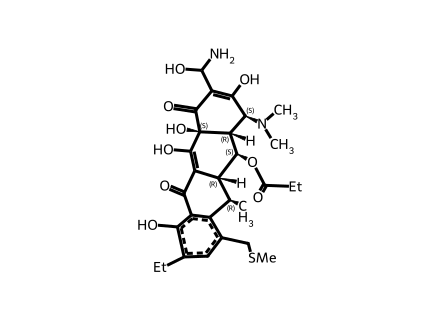 CCC(=O)O[C@H]1[C@H]2C(=C(O)[C@]3(O)C(=O)C(C(N)O)=C(O)[C@@H](N(C)C)[C@H]13)C(=O)c1c(O)c(CC)cc(CSC)c1[C@@H]2C